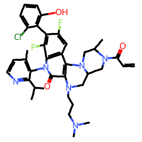 C=CC(=O)N1CC2CN(CCCN(C)C)c3c(c4cc(F)c(-c5c(O)cccc5Cl)c(F)c4n(-c4c(C)ccnc4C(C)C)c3=O)N2CC1C